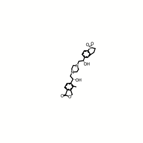 Cc1c([C@@H](O)CN2CCN(C[C@@H](O)c3ccc4c(c3)CCS4(=O)=O)CC2)ccc2c1COC2=O